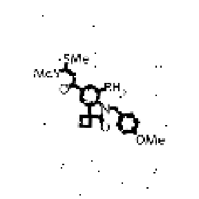 Bc1cc(C(=O)C=C(SC)SC)cc2c1N(Cc1ccc(OC)cc1)C(=O)C21CCC1